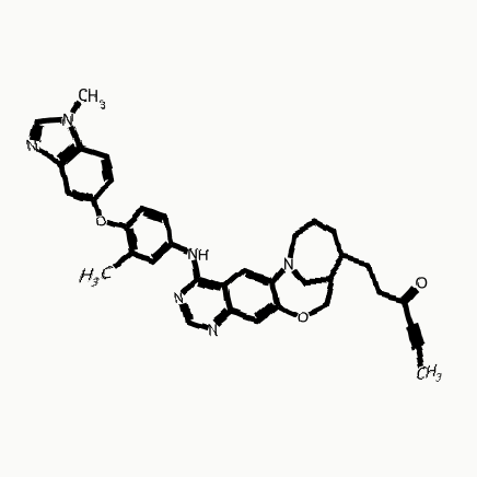 CC#CC(=O)CCC1CCCN2CC1COc1cc3ncnc(Nc4ccc(Oc5ccc6c(c5)ncn6C)c(C)c4)c3cc12